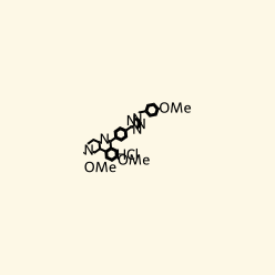 COc1ccc(Cn2nnc(-c3ccc(C4=NC5CCN(C)CC5c5cc(OC)c(OC)cc54)cc3)n2)cc1.Cl